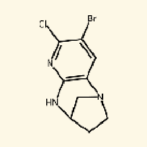 Clc1nc2c(cc1Br)N1CCC(C1)N2